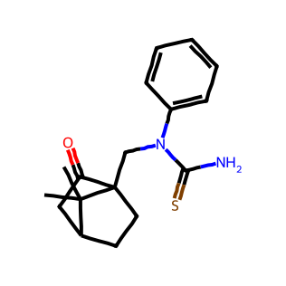 CC1(C)C2CCC1(CN(C(N)=S)c1ccccc1)C(=O)C2